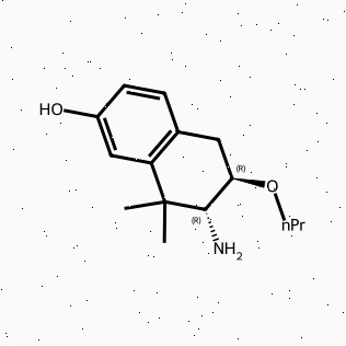 CCCO[C@@H]1Cc2ccc(O)cc2C(C)(C)[C@H]1N